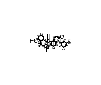 CC1(C)CC(O)(C(F)(F)F)C(Nc2cccc3c2ccc(=O)n3-c2cccc(F)c2)c2cccc(O)c21